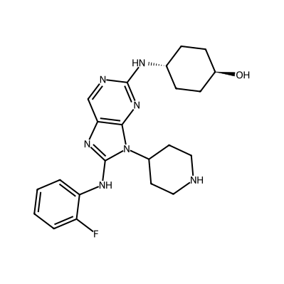 O[C@H]1CC[C@H](Nc2ncc3nc(Nc4ccccc4F)n(C4CCNCC4)c3n2)CC1